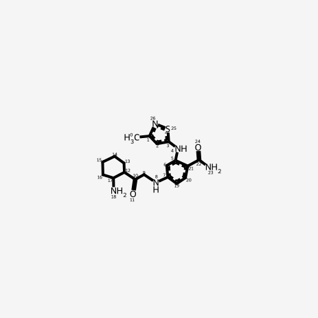 Cc1cc(Nc2cc(NCC(=O)C3CCCCC3N)ccc2C(N)=O)sn1